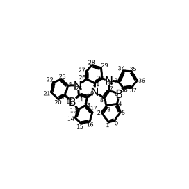 c1ccc2c(c1)B1C3=C2N2C4=C5B(c6ccccc64)c4ccccc4N5c4cccc(c42)N3c2ccccc21